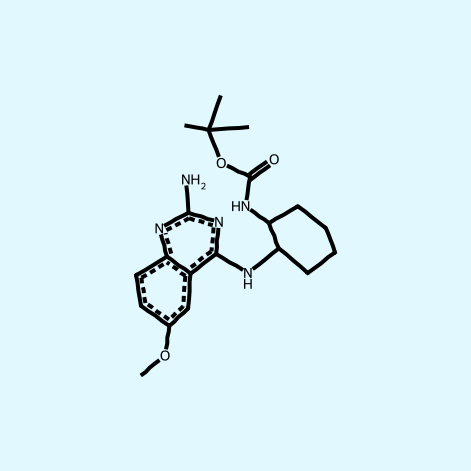 COc1ccc2nc(N)nc(NC3CCCCC3NC(=O)OC(C)(C)C)c2c1